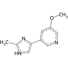 COc1cncc(-c2c[nH]c(C)n2)c1